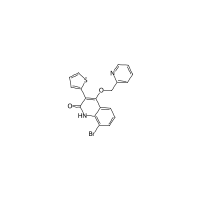 O=c1[nH]c2c(Br)cccc2c(OCc2ccccn2)c1-c1cccs1